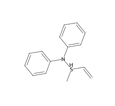 C=C[SH](C)N(c1ccccc1)c1ccccc1